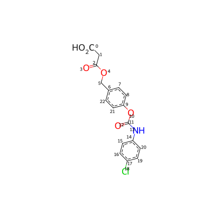 O=C(O)CC(=O)OCc1ccc(OC(=O)Nc2ccc(Cl)cc2)cc1